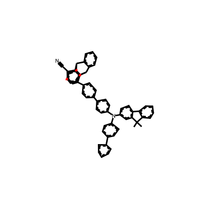 CC1(C)c2ccccc2-c2ccc(N(c3ccc(-c4ccccc4)cc3)c3ccc(-c4ccc(-c5ccc(C#N)c6c5C5c7ccccc7C6c6ccccc65)cc4)cc3)cc21